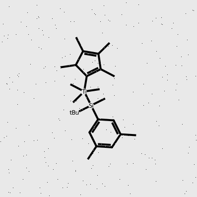 CC1=C(C)C(C)[C]([Ti]([CH3])([CH3])([CH3])[Si](C)(c2cc(C)cc(C)c2)C(C)(C)C)=C1C